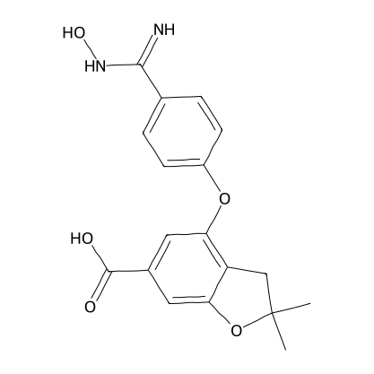 CC1(C)Cc2c(Oc3ccc(C(=N)NO)cc3)cc(C(=O)O)cc2O1